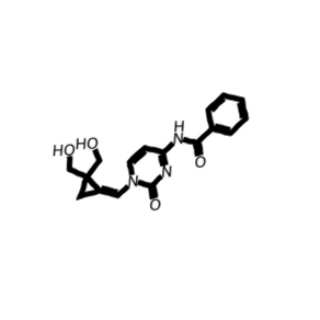 O=C(Nc1ccn(C=C2CC2(CO)CO)c(=O)n1)c1ccccc1